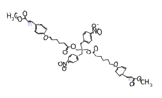 COC(=O)/C=C/c1ccc(OCCCCCC(=O)OCC(COC(=O)CCCCCOc2ccc(/C=C/C(=O)OC)cc2)(Cc2ccc([N+](=O)[O-])cc2)Cc2ccc([N+](=O)[O-])cc2)cc1